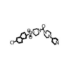 O=C(N1CCN(c2ccncc2)CC1)N1CCN(S(=O)(=O)c2ccc3cc(Cl)ccc3c2)CC1